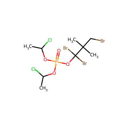 CC(Cl)OP(=O)(OC(C)Cl)OC(Br)(Br)C(C)(C)CBr